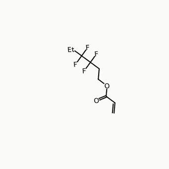 C=CC(=O)OCCC(F)(F)C(F)(F)CC